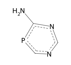 Nc1ncncp1